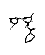 Cc1cn(-c2cccc(F)c2)/c(=N/C(=O)N2CCCC2)s1